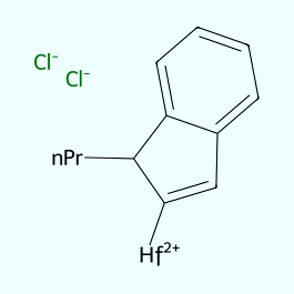 CCCC1[C]([Hf+2])=Cc2ccccc21.[Cl-].[Cl-]